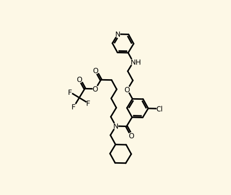 O=C(CCCCCN(CC1CCCCC1)C(=O)c1cc(Cl)cc(OCCNc2ccncc2)c1)OC(=O)C(F)(F)F